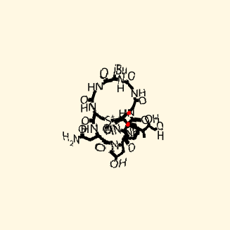 CCC(C)C1NC(=O)CNC(=O)C2Cc3c([nH]c4ccccc34)[S+]([O-])CC(NC(=O)CNC1=O)C(=O)NC(CC(N)=O)C(=O)N1CC(O)CC1C(=O)NC(C(C)C(O)CO)C(=O)N2